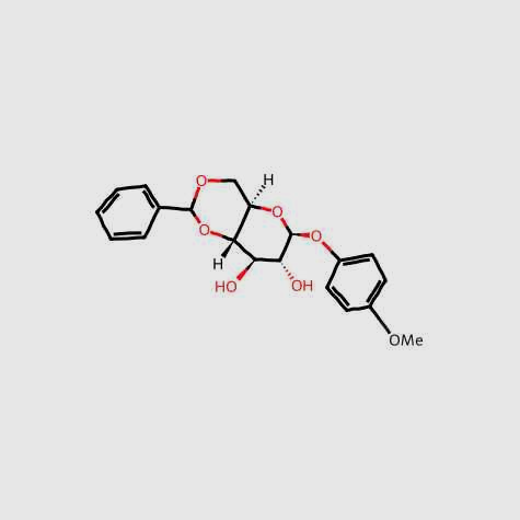 COc1ccc(O[C@@H]2O[C@@H]3COC(c4ccccc4)O[C@H]3[C@H](O)[C@H]2O)cc1